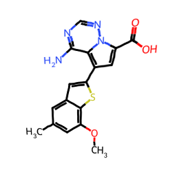 COc1cc(C)cc2cc(-c3cc(C(=O)O)n4ncnc(N)c34)sc12